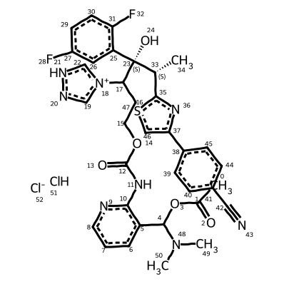 CC(=O)OC(c1cccnc1NC(=O)OCCC([n+]1cn[nH]c1)[C@@](O)(c1cc(F)ccc1F)[C@H](C)c1nc(-c2ccc(C#N)cc2)cs1)N(C)C.Cl.[Cl-]